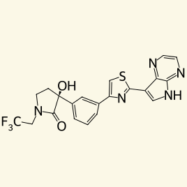 O=C1N(CC(F)(F)F)CC[C@]1(O)c1cccc(-c2csc(-c3c[nH]c4nccnc34)n2)c1